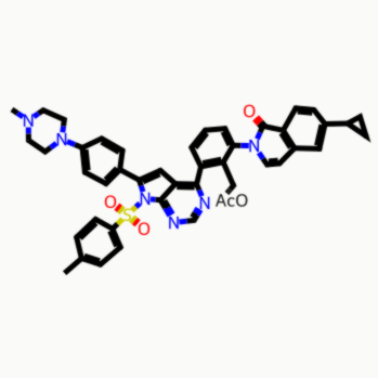 CC(=O)OCc1c(-c2ncnc3c2cc(-c2ccc(N4CCN(C)CC4)cc2)n3S(=O)(=O)c2ccc(C)cc2)cccc1-n1ccc2cc(C3CC3)ccc2c1=O